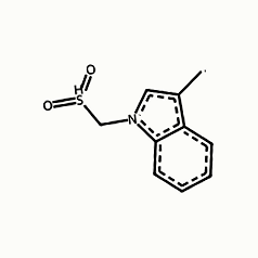 [CH2]c1cn(C[SH](=O)=O)c2ccccc12